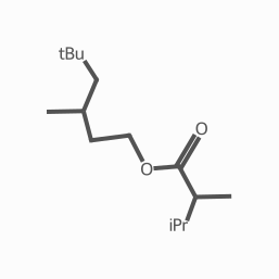 CC(CCOC(=O)C(C)C(C)C)CC(C)(C)C